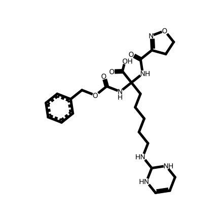 O=C(NC(CCCCCNC1NC=CCN1)(NC(=O)C1=NOCC1)C(=O)O)OCc1ccccc1